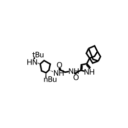 CCCC[C@H]1C[C@H](NC(C)(C)C)CC[C@@H]1NC(=O)CNC(=O)c1cc(C23CC4CC(CC(C4)C2)C3)c[nH]1